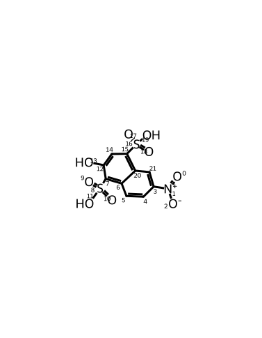 O=[N+]([O-])c1ccc2c(S(=O)(=O)O)c(O)cc(S(=O)(=O)O)c2c1